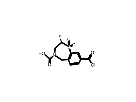 O=C(O)c1ccc2c(c1)S(=O)(=O)[C@H](F)CN(C(=O)O)C2